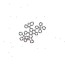 c1ccc(-n2c3ccccc3c3cc4c(cc32)N(c2cccc(C(c3ccccc3)(c3ccccc3)c3ccccc3)c2)c2cc(N3c5ccccc5Sc5ccccc53)cc3c2B4c2ccccc2N3c2cccc([Si](c3ccccc3)(c3ccccc3)c3ccccc3)c2)cc1